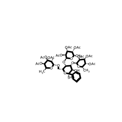 CC(=O)O[C@H]1[C@H](OC(C)=O)[C@H](OC[C@H]2O[C@](S)(c3ccccc3)[C@H](O)[C@@H](O[C@@H]3O[C@@H](C)[C@@H](OC(C)=O)[C@@H](OC(C)=O)[C@@H]3OC(C)=O)[C@H]2O[C@@H]2O[C@@H](C)[C@@H](OC(C)=O)[C@@H](OC(C)=O)[C@@H]2OC(C)=O)O[C@@H](C)[C@H]1OC(C)=O